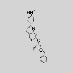 CNc1ccc(-c2ccc3ccc(OC(CF)COCc4ccccc4)cc3n2)cc1